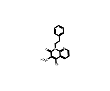 O=C(O)c1c(O)c2cccnc2n(CCc2ccccc2)c1=O